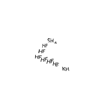 F.F.F.F.F.F.[KH].[SiH4]